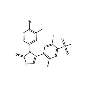 Cc1cc(-n2c(-c3cc(F)c(S(C)(=O)=O)cc3F)csc2=O)ccc1Br